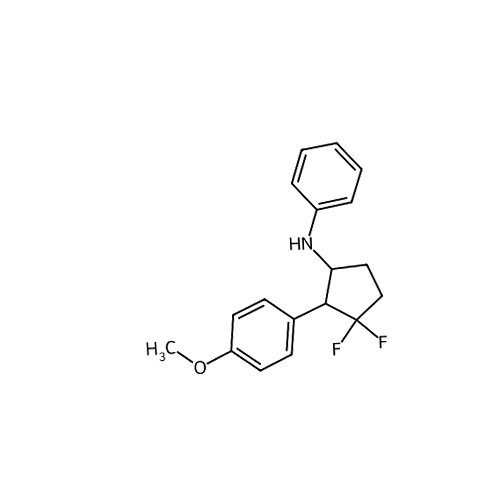 COc1ccc(C2C(Nc3ccccc3)CCC2(F)F)cc1